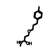 CNC(O)CCOCCCc1ccc(C)cc1